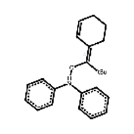 CC(C)(C)/C(O[SiH](c1ccccc1)c1ccccc1)=C1/C=CCCC1